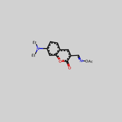 CCN(CC)c1ccc2cc(/C=N/OC(C)=O)c(=O)oc2c1